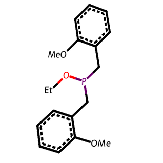 CCOP(Cc1ccccc1OC)Cc1ccccc1OC